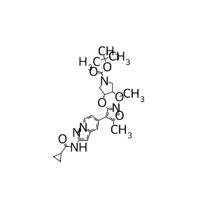 CO[C@@H]1CN(C(=O)OC(C)(C)C)C[C@@H]1Oc1noc(C)c1-c1ccn2nc(NC(=O)C3CC3)cc2c1